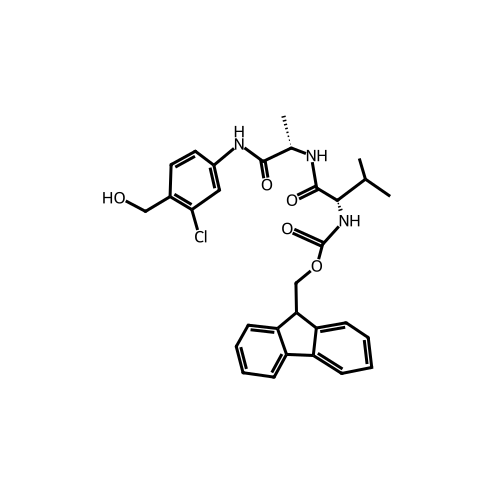 CC(C)[C@H](NC(=O)OCC1c2ccccc2-c2ccccc21)C(=O)N[C@@H](C)C(=O)Nc1ccc(CO)c(Cl)c1